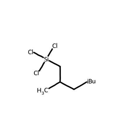 CCC(C)CC(C)C[Si](Cl)(Cl)Cl